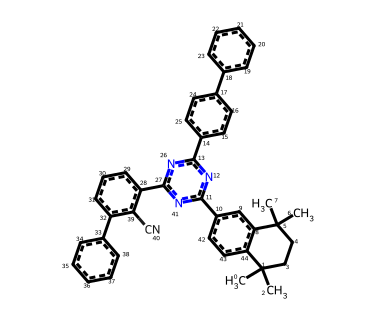 CC1(C)CCC(C)(C)c2cc(-c3nc(-c4ccc(-c5ccccc5)cc4)nc(-c4cccc(-c5ccccc5)c4C#N)n3)ccc21